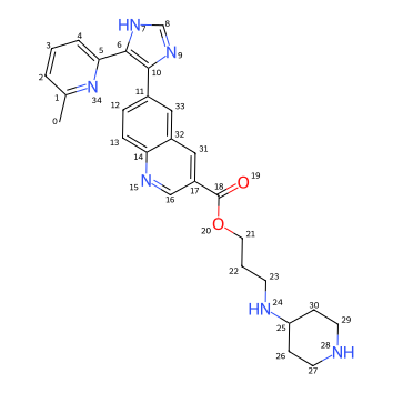 Cc1cccc(-c2[nH]cnc2-c2ccc3ncc(C(=O)OCCCNC4CCNCC4)cc3c2)n1